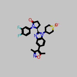 Cc1noc(C)c1-c1ccc2c(c1)nc([C@@H]1CCC(=O)N1c1ccc(F)c(F)c1)n2C1CC[S+]([O-])CC1